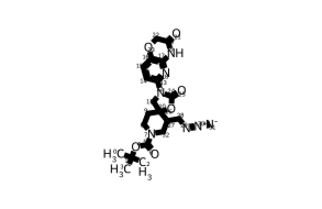 CC(C)(C)OC(=O)N1CCC2(CN(c3ccc4c(n3)NC(=O)CO4)C(=O)O2)C(CN=[N+]=[N-])C1